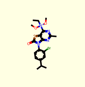 CC[N+](OC)(OC)c1nc(C)nc2c1sc(=O)n2-c1ccc(C(C)C)cc1Br